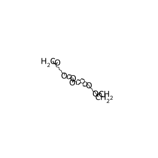 C=CC(=C)OCCCCOc1ccc2c(ccc3cc(C(=O)Oc4ccc(OCCCCCCC(=O)C=C)cc4)ccc32)c1